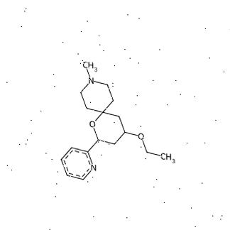 CCOC1CC(c2ccccn2)OC2(CCN(C)CC2)C1